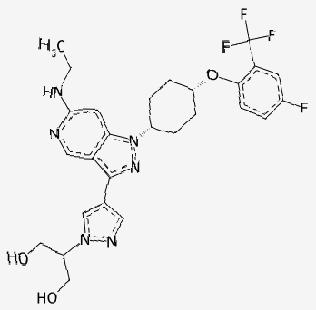 CCNc1cc2c(cn1)c(-c1cnn(C(CO)CO)c1)nn2[C@H]1CC[C@@H](Oc2ccc(F)cc2C(F)(F)F)CC1